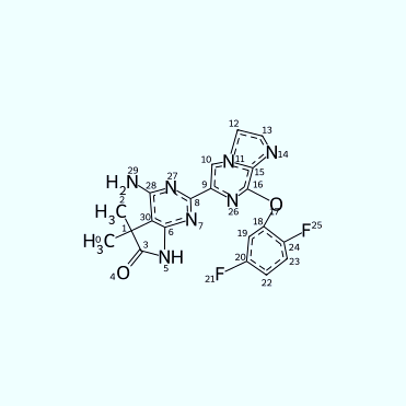 CC1(C)C(=O)Nc2nc(-c3cn4ccnc4c(Oc4cc(F)ccc4F)n3)nc(N)c21